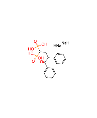 O=C(c1ccccc1)C(CC(P(=O)(O)O)P(=O)(O)O)c1ccccc1.[NaH].[NaH]